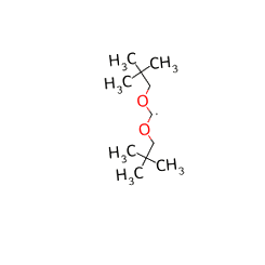 CC(C)(C)CO[CH]OCC(C)(C)C